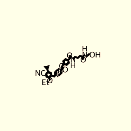 CCOc1cc(C#N)c(C2CC2)cc1CN1CCN(C(=O)Oc2ccc(C(=O)NCCCC(=O)NCCO)cc2)CC1